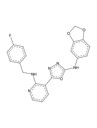 Fc1ccc(CNc2ncccc2-c2nnc(Nc3ccc4c(c3)OCO4)o2)cc1